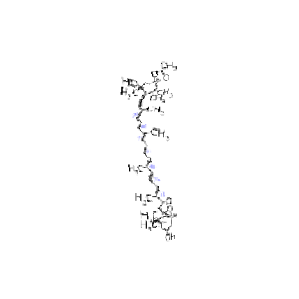 CC(=O)O[C@H]1CC(C)(C)C(=C=C/C(C)=C/C=C/C(C)=C/C=C/C=C(C)/C=C/C=C(\C)C(=O)C[C@@]23O[C@]2(C)CC(O)CC3(C)C)[C@](C)(O)C1